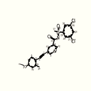 COc1ccc(C#Cc2cncc(C(=O)N=S(C)(=O)c3cc(Cl)cc(Cl)c3)c2)c(C)c1